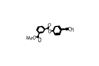 C#Cc1ccc(OC(=O)c2cccc(C(=O)OC)c2)cc1